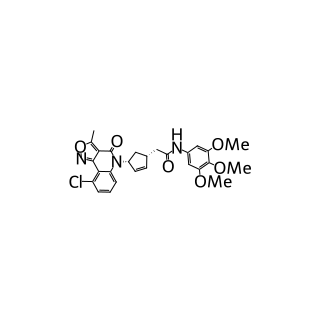 COc1cc(NC(=O)C[C@@H]2C=C[C@H](n3c(=O)c4c(C)onc4c4c(Cl)cccc43)C2)cc(OC)c1OC